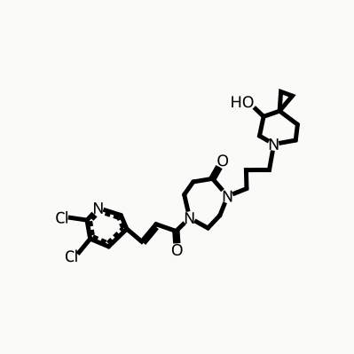 O=C(C=Cc1cnc(Cl)c(Cl)c1)N1CCC(=O)N(CCCN2CCC3(CC3)C(O)C2)CC1